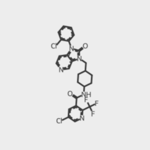 O=C(NC1CCC(Cn2c(=O)n(-c3ccccc3Cl)c3ccncc32)CC1)c1cc(Cl)cnc1C(F)(F)F